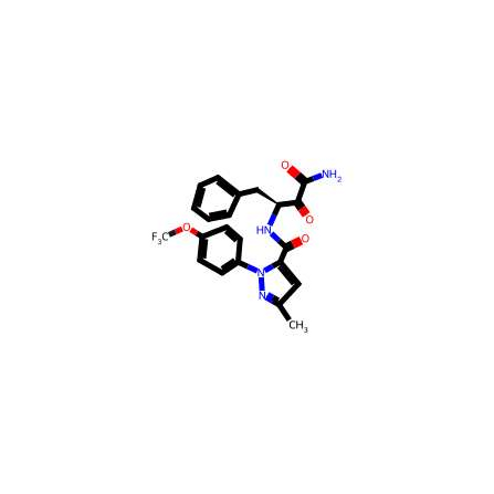 Cc1cc(C(=O)N[C@@H](Cc2ccccc2)C(=O)C(N)=O)n(-c2ccc(OC(F)(F)F)cc2)n1